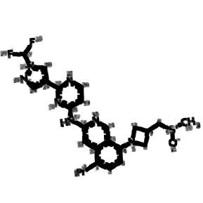 CC(C)c1ccc(N2CC(C[S+](C)[O-])C2)c2cnc(Nc3ccnc(-c4cnn(C(F)F)c4)n3)cc12